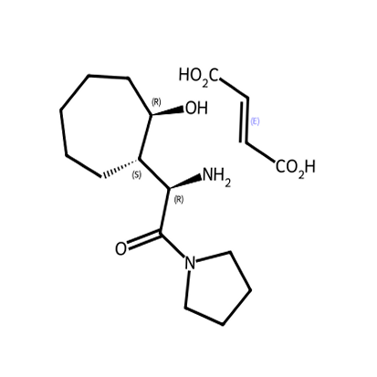 N[C@@H](C(=O)N1CCCC1)[C@@H]1CCCCC[C@H]1O.O=C(O)/C=C/C(=O)O